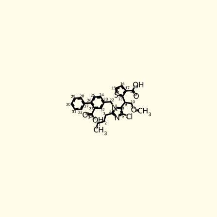 CCCCc1nc(Cl)c(C(COC)c2sccc2C(=O)O)n1Cc1ccc(-c2ccccc2)c(C(=O)O)c1